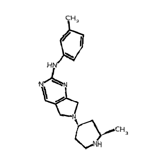 Cc1cccc(Nc2ncc3c(n2)CN([C@@H]2CCN[C@H](C)C2)C3)c1